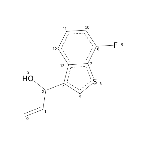 C=CC(O)c1csc2c(F)cccc12